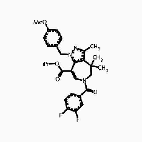 COc1ccc(Cn2nc(C)c3c2C(C(=O)OC(C)C)=CN(C(=O)c2ccc(F)c(F)c2)CC3(C)C)cc1